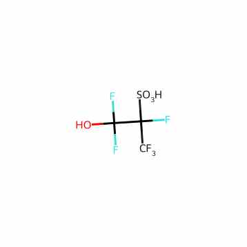 O=S(=O)(O)C(F)(C(O)(F)F)C(F)(F)F